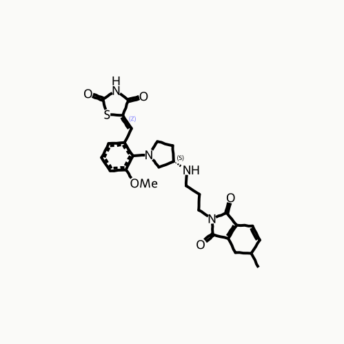 COc1cccc(/C=C2\SC(=O)NC2=O)c1N1CC[C@H](NCCCN2C(=O)C3=C(CC(C)C=C3)C2=O)C1